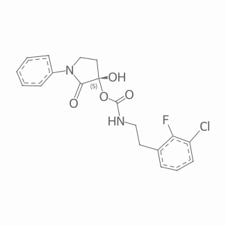 O=C(NCCc1cccc(Cl)c1F)O[C@@]1(O)CCN(c2ccccc2)C1=O